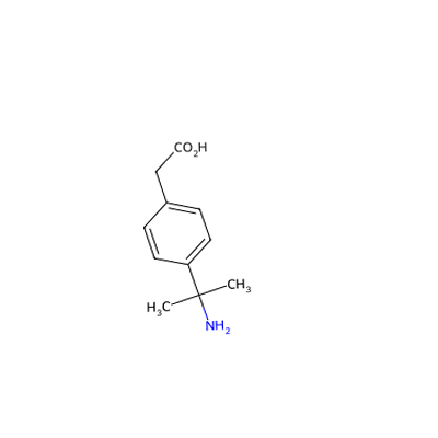 CC(C)(N)c1ccc(CC(=O)O)cc1